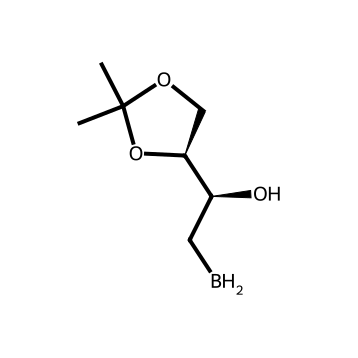 BC[C@H](O)[C@@H]1COC(C)(C)O1